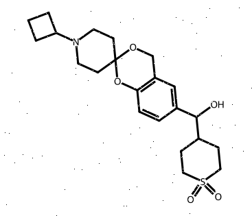 O=S1(=O)CCC(C(O)c2ccc3c(c2)COC2(CCN(C4CCC4)CC2)O3)CC1